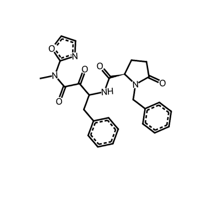 CN(C(=O)C(=O)C(Cc1ccccc1)NC(=O)[C@H]1CCC(=O)N1Cc1ccccc1)c1ncco1